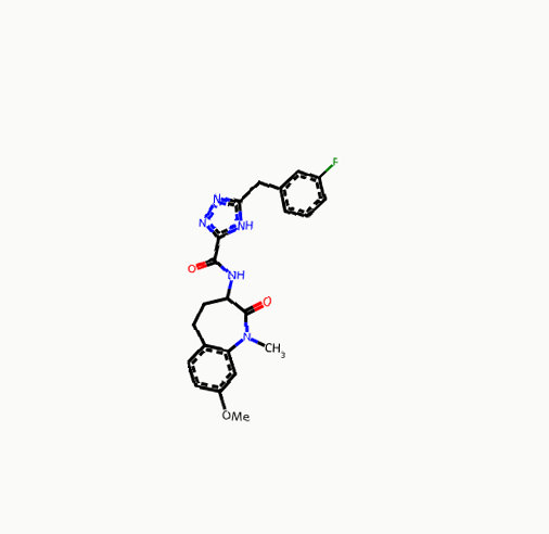 COc1ccc2c(c1)N(C)C(=O)C(NC(=O)c1nnc(Cc3cccc(F)c3)[nH]1)CC2